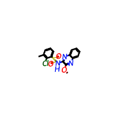 COc1nc2ccccc2nc1NS(=O)(=O)c1cccc(C)c1Cl